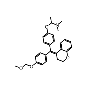 COCOc1ccc(/C(=C2\CCOc3ccccc32)c2ccc(OC(C)N(C)C)cc2)cc1